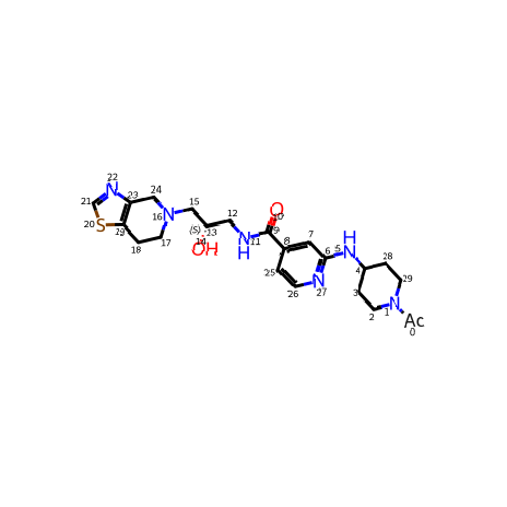 CC(=O)N1CCC(Nc2cc(C(=O)NC[C@H](O)CN3CCc4scnc4C3)ccn2)CC1